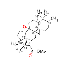 COC(=O)C[C@@H](C)[C@]1(C)CCC23OC24CC[C@H]2C(C)(C)[C@H](C)CC[C@@]25C[C@@]45CC[C@@]31C